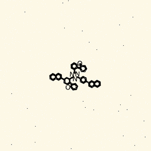 C1=C(c2ccc3ccccc3c2)CC(c2nc(-c3ccc(-c4ccc5ccccc5c4)cc3)nc(-c3cccc4oc5ccccc5c34)n2)c2c1oc1ccccc21